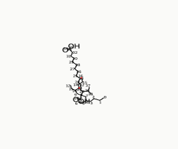 CCCCC(CC)CC(CC(CC)CCCC)(C(=O)O)C(CCCCCCCCCCCCC(=O)O)C(C)C